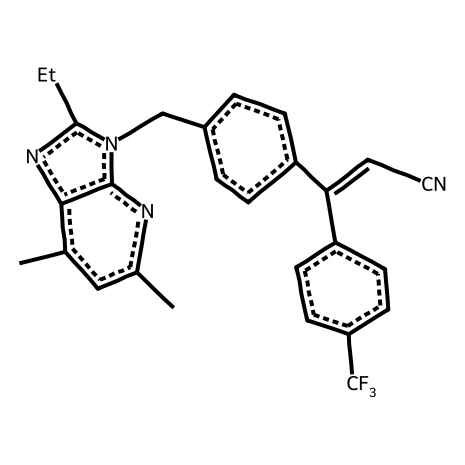 CCc1nc2c(C)cc(C)nc2n1Cc1ccc(/C(=C/C#N)c2ccc(C(F)(F)F)cc2)cc1